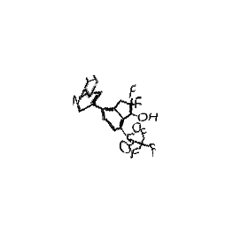 O=S(=O)(c1ccc(-c2cn[nH]c2)c2c1[C@H](O)C(F)(F)C2)C(F)(F)F